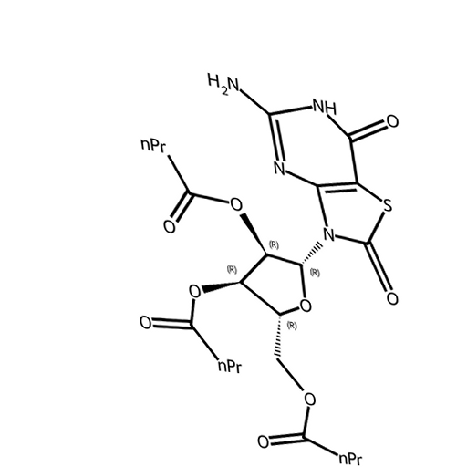 CCCC(=O)OC[C@H]1O[C@@H](n2c(=O)sc3c(=O)[nH]c(N)nc32)[C@H](OC(=O)CCC)[C@@H]1OC(=O)CCC